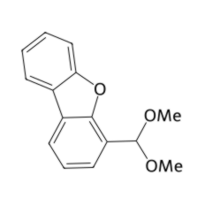 COC(OC)c1cccc2c1oc1ccccc12